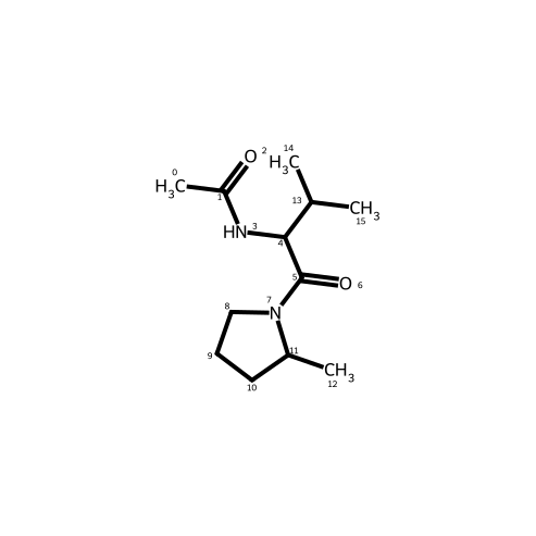 CC(=O)NC(C(=O)N1CCCC1C)C(C)C